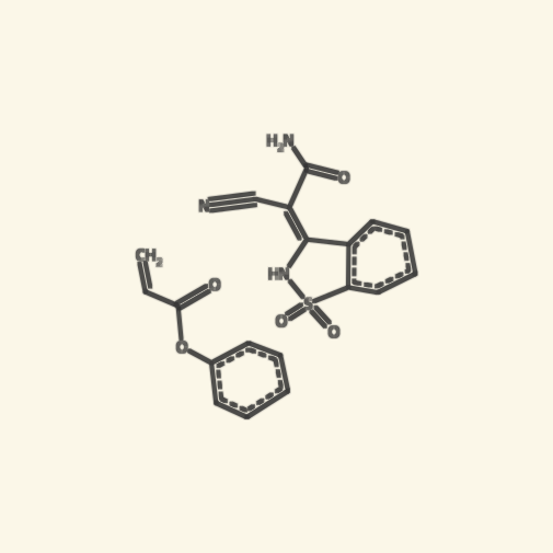 C=CC(=O)Oc1ccccc1.N#CC(C(N)=O)=C1NS(=O)(=O)c2ccccc21